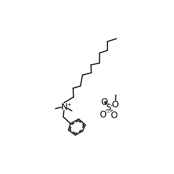 CCCCCCCCCCCC[N+](C)(C)Cc1ccccc1.COS(=O)(=O)[O-]